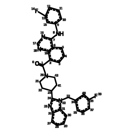 O=C(c1cccc2c(Nc3cccc(F)c3)ncnc12)N1CCC(c2nc3ccccc3n2Cc2cccc(F)c2)CC1